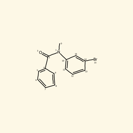 CN(C(=O)c1ccccc1)c1cccc(Br)c1